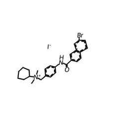 C[N+](C)(Cc1ccc(NC(=O)c2ccc3ccc(Br)cc3c2)cc1)C1CCCCC1.[I-]